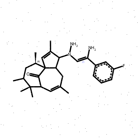 CC1=CC2C(=O)C3(C=C(C)C(N(N)/C=C(\N)c4cccc(F)c4)C3C1)[C@H](C)CC(C)C2(C)C